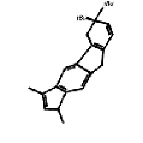 CC1=CC(C)c2cc3c(cc21)C1=C(C=CC(C(C)(C)C)(C(C)(C)C)C1)C3